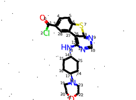 O=C(Cl)c1ccc2sc3ncnc(N[C@H]4CC[C@H](N5CCOCC5)CC4)c3c2c1